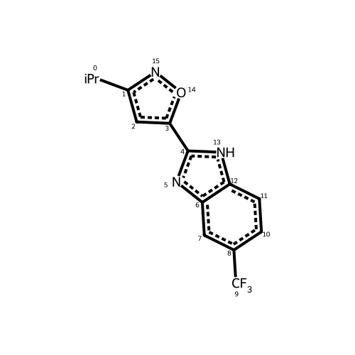 CC(C)c1cc(-c2nc3cc(C(F)(F)F)ccc3[nH]2)on1